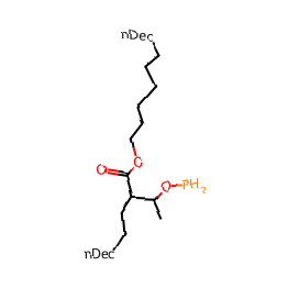 CCCCCCCCCCCCCCCCOC(=O)C(CCCCCCCCCCCC)C(C)OP